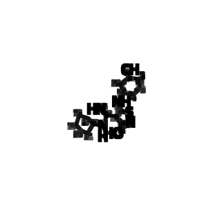 Cc1cccc(Nc2snc(O)c2C(=N)NC2CCCCC2)c1